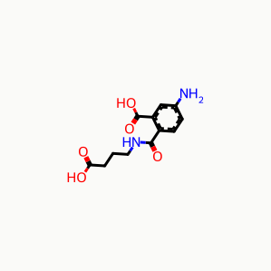 Nc1ccc(C(=O)NCCCC(=O)O)c(C(=O)O)c1